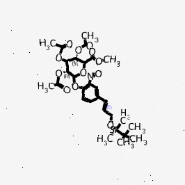 COC(=O)C1OC(Oc2ccc(/C=C/CO[Si](C)(C)C(C)(C)C)cc2N=O)[C@H](OC(C)=O)C(OC(C)=O)[C@@H]1OC(C)=O